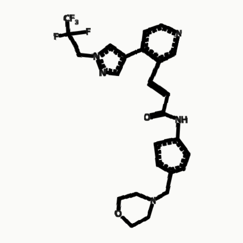 O=C(/C=C/c1cnccc1-c1cnn(CC(F)(F)C(F)(F)F)c1)Nc1ccc(CN2CCOCC2)cc1